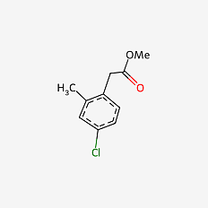 COC(=O)Cc1ccc(Cl)cc1C